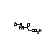 O=C(O)CC(=O)NSC1CC1